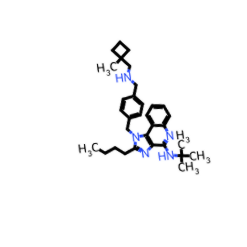 CCCCc1nc2c(NC(C)(C)C)nc3ccccc3c2n1Cc1ccc(CNCC2(C)CCC2)cc1